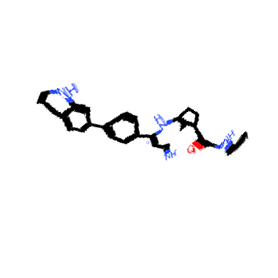 CCNC(=O)C1CCC(N/C(=C\C=N)c2ccc(-c3ccc4cc[nH]c4c3)cc2)C1